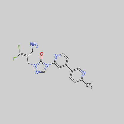 NCC(Cn1ncn(-c2cc(-c3ccc(C(F)(F)F)nc3)ccn2)c1=O)=C(F)F